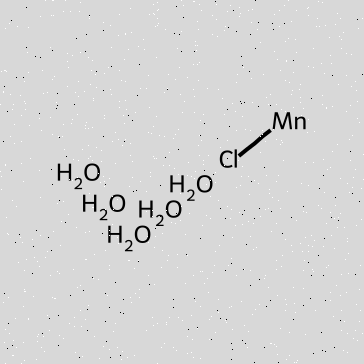 O.O.O.O.O.[Cl][Mn]